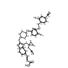 N#CCC1(Cn2c(CN3CCC(Oc4ccc(F)c(OCc5ccc(C#N)cc5F)n4)CC3)nc3ccc(/C=C/C(=O)O)cc32)CC1